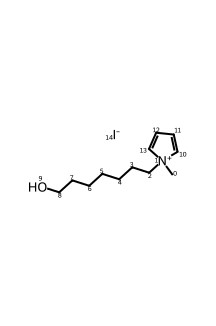 C[N+]1(CCCCCCCO)C=CC=C1.[I-]